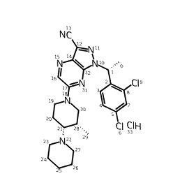 C[C@H](c1ccc(Cl)cc1Cl)n1nc(C#N)c2ncc(N3CC[C@@H](N4CCCCC4)[C@@H](C)C3)nc21.Cl